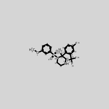 COc1cccc(S(=O)(=O)N2CCNCC2(C)c2ccc(F)cc2C(F)(F)F)c1